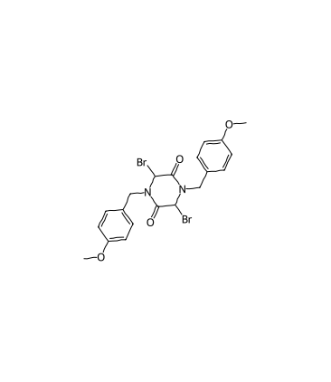 COc1ccc(CN2C(=O)C(Br)N(Cc3ccc(OC)cc3)C(=O)C2Br)cc1